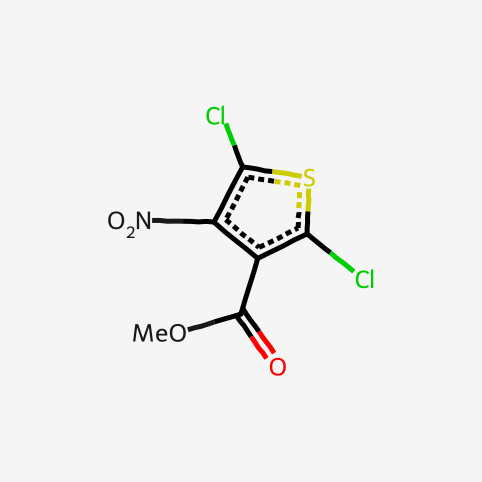 COC(=O)c1c(Cl)sc(Cl)c1[N+](=O)[O-]